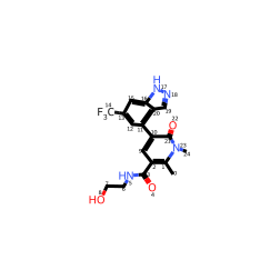 Cc1c(C(=O)NCCO)cc(-c2cc(C(F)(F)F)cc3[nH]ncc23)c(=O)n1C